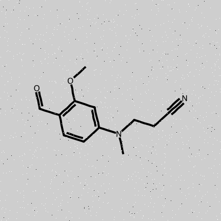 COc1cc(N(C)CCC#N)ccc1C=O